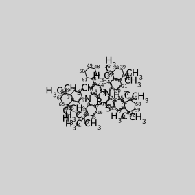 Cc1cc2c(cc1N1c3cc(C(C)(C)C)ccc3B3c4sc5cc6c(cc5c4N(c4ccc5c(c4)C(C)(C)CCC5(C)C)c4cc(C5CCCCC5)cc1c43)C(C)(C)CCC6(C)C)C(C)(C)CCC2(C)C